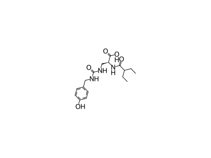 CCC(CC)C(=O)N[C@@H](CNC(=O)NCc1ccc(O)cc1)C(=O)O